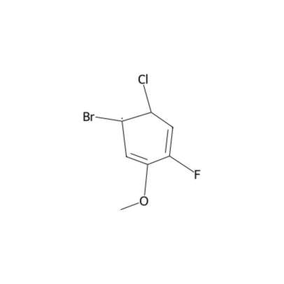 COC1=C[C](Br)C(Cl)C=C1F